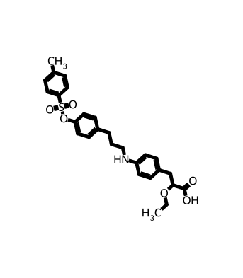 CCOC(Cc1ccc(NCCCc2ccc(OS(=O)(=O)c3ccc(C)cc3)cc2)cc1)C(=O)O